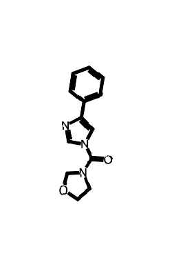 O=C(N1CCOC1)n1cnc(-c2ccccc2)c1